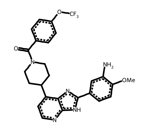 COc1ccc(-c2nc3c(C4CCN(C(=O)c5ccc(OC(F)(F)F)cc5)CC4)ccnc3[nH]2)cc1N